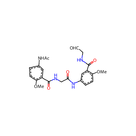 COc1ccc(NC(=O)CNC(=O)c2cc(NC(C)=O)ccc2OC)cc1C(=O)NCC=O